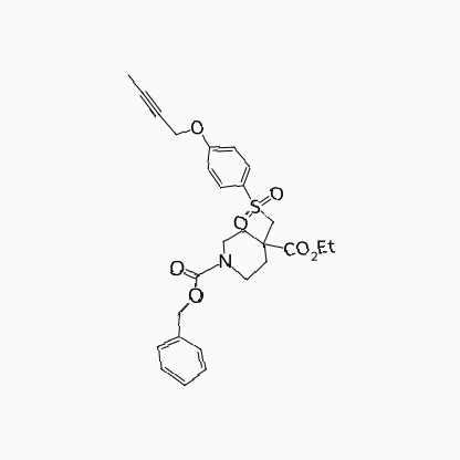 CC#CCOc1ccc(S(=O)(=O)CC2(C(=O)OCC)CCN(C(=O)OCc3ccccc3)CC2)cc1